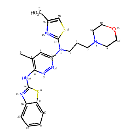 Cc1cc(N(CCCN2CCOCC2)c2nc(C(=O)O)cs2)nnc1Nc1nc2ccccc2s1